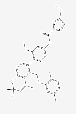 COc1ccc(C(=O)Oc2ccc(-c3ccc4c(c3COc3cc(F)ccc3C)C(C)=CC(C)(C)N4)c(OC)c2)o1